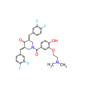 CN(C)CCOc1cc(C(=O)N2CC(=Cc3ccc(F)c(F)c3)C(=O)C(=Cc3ccc(F)c(F)c3)C2)ccc1O